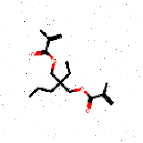 C=C(C)C(=O)OCC(CC)(CCC)COC(=O)C(=C)C